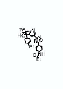 CCC(=O)NC1CCC(c2nc(-c3cncc([C@@](O)(c4ccc(C(C)C)cc4)C4(C)CN(C)C4)c3)no2)CC1